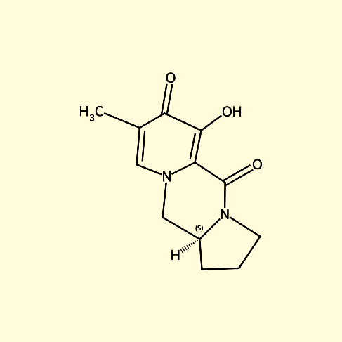 Cc1cn2c(c(O)c1=O)C(=O)N1CCC[C@H]1C2